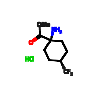 COC(=O)[C@]1(N)CC[C@@H](C(F)(F)F)CC1.Cl